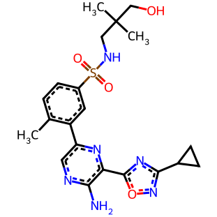 Cc1ccc(S(=O)(=O)NCC(C)(C)CO)cc1-c1cnc(N)c(-c2nc(C3CC3)no2)n1